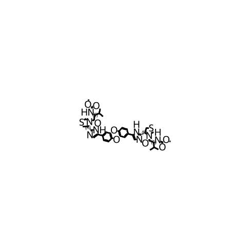 COC(=O)N[C@H](C(=O)N1CSC[C@H]1c1ncc(-c2ccc3c(c2)Oc2ccc(-c4cnc([C@@H]5CSCN5C(=O)[C@@H](NC(=O)OC)C(C)C)[nH]4)cc2O3)[nH]1)C(C)C